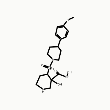 COc1ccc(C2CCN(S(=O)(=O)C3CCNCC3(O)C(=O)NO)CC2)cc1